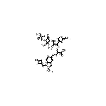 C[n+]1cc2cc(OCC(O/N=C(\C(=O)N[C@@H]3C(=O)N(OS(=O)(=O)O)C3(C)C)c3csc(N)n3)C(=O)O)ccc2n1CC1CNC1